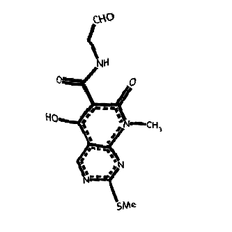 CSc1ncc2c(O)c(C(=O)NCC=O)c(=O)n(C)c2n1